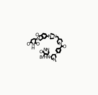 CN1C[C@H](Nc2cnn(C)c(=O)c2Br)C[C@H](c2ccc(C(=O)N3CCC(CN4CCN(c5ccc6c(c5)CN(C5CCC(=O)NC5=O)C6=O)CC4)CC3)cc2)C1